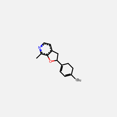 Cc1nccc2c1OC(C1=CC=C(C(C)(C)C)CC1)C2